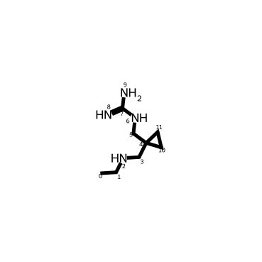 CCNCC1(CNC(=N)N)CC1